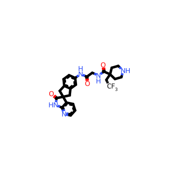 O=C(CNC(=O)C1(CC(F)(F)F)CCNCC1)Nc1ccc2c(c1)CC1(C2)C(=O)Nc2ncccc21